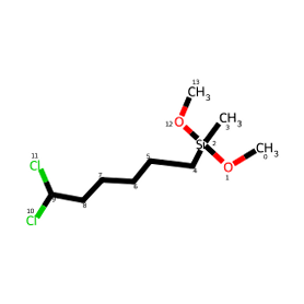 CO[Si](C)(CCCCCC(Cl)Cl)OC